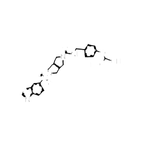 CC(C)Oc1ccc(CNC(=O)N2CC3=C(C2)CN(S(=O)(=O)c2ccc4ncsc4c2)C3)cc1